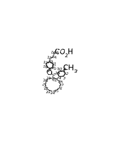 Cc1ccc(C2=C(COc3ccc(CCCC(=O)O)cc3)CCCCCCCCCC2)cc1